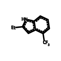 CCc1cc2c(C(F)(F)F)cccc2[nH]1